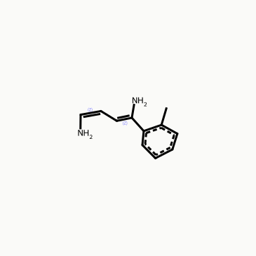 Cc1ccccc1/C(N)=C/C=C\N